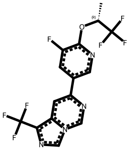 C[C@@H](Oc1ncc(-c2cc3c(C(F)(F)F)ncn3cn2)cc1F)C(F)(F)F